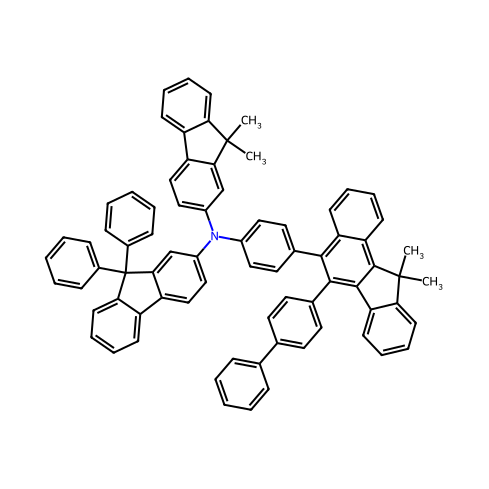 CC1(C)c2ccccc2-c2ccc(N(c3ccc(-c4c(-c5ccc(-c6ccccc6)cc5)c5c(c6ccccc46)C(C)(C)c4ccccc4-5)cc3)c3ccc4c(c3)C(c3ccccc3)(c3ccccc3)c3ccccc3-4)cc21